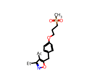 CCc1noc(Cc2ccc(OCCCS(C)(=O)=O)cc2)c1C(C)=O